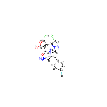 Cn1ncc(Cl)c1C1=C(C(=O)N[C@H](CN)Cc2ccc(F)cc2)C(=O)OC1Cl